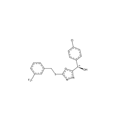 O[C@H](c1ccc(Cl)cc1)c1nnc(SCc2cccc(C(F)(F)F)c2)o1